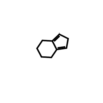 [C]1=C2CCCCC2=CC1